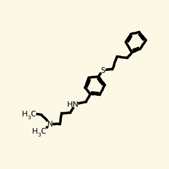 CCN(C)CCCNCc1ccc(SCCCc2ccccc2)cc1